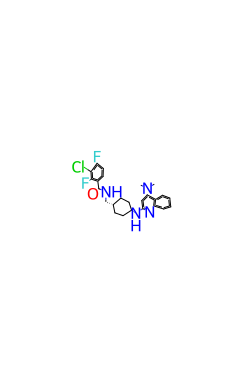 CN(C)c1cc(N[C@H]2CC[C@@H](CNC(=O)c3ccc(F)c(Cl)c3F)CC2)nc2ccccc12